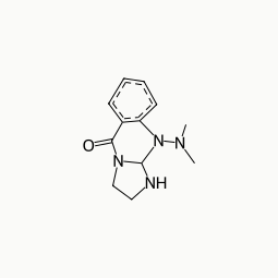 CN(C)N1c2ccccc2C(=O)N2CCNC21